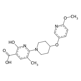 COc1ccc(OC2CCN(c3nc(O)c(C(=O)O)cc3C)CC2)cn1